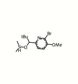 COc1ccc(C(O[SiH](C)C)C(C)(C)C)nc1Br